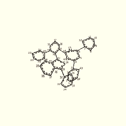 c1ccc(-c2cc(-c3ccccc3)nc(-c3cccc(-c4ccccc4)c3-c3sc(-c4ccccc4)c4ccccc34)n2)cc1